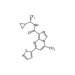 Cc1cc(-c2ccns2)nc2c(C(=O)N[C@@H](C3CC3)C(F)(F)F)ncn12